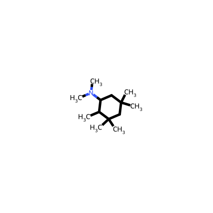 CC1C(N(C)C)CC(C)(C)CC1(C)C